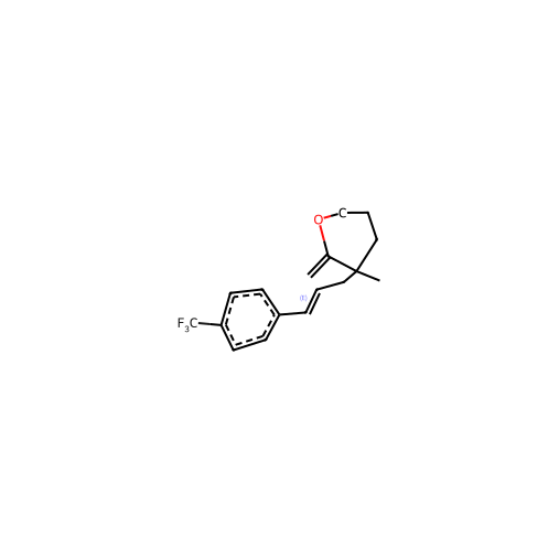 C=C1OCCCC1(C)C/C=C/c1ccc(C(F)(F)F)cc1